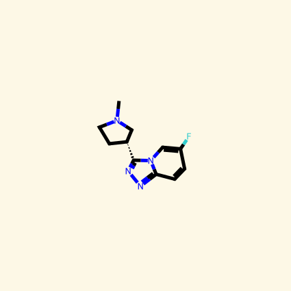 CN1CC[C@@H](c2nnc3ccc(F)cn23)C1